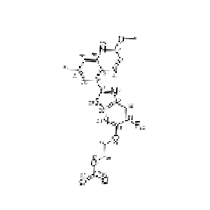 COc1cnc2c(-c3nc4cc(F)c(OCCOC(=O)Cl)nc4s3)cc(C)cc2n1